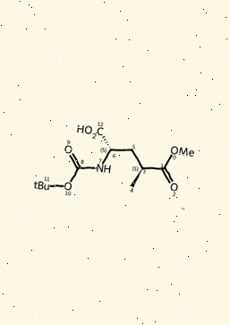 COC(=O)[C@@H](C)C[C@H](NC(=O)OC(C)(C)C)C(=O)O